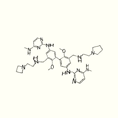 CNc1ccnc(Nc2cc(CNCCN3CCCC3)c(OC)c(-c3cc(Nc4nccc(NC)n4)cc(CNCCN4CCC4)c3OC)c2)n1